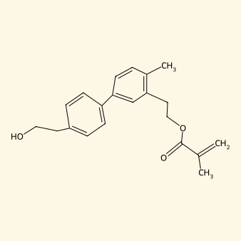 C=C(C)C(=O)OCCc1cc(-c2ccc(CCO)cc2)ccc1C